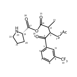 CC(=O)SC(C(=O)c1cccc(C(F)(F)F)c1)C(C)C(=O)OC(=O)[C@@H]1CCCN1